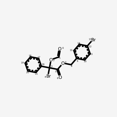 O=[C]OC(Br)(C(=O)OCc1ccc(Br)cc1)c1ccccc1